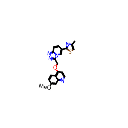 COc1ccc2c(OCc3nnc4ccc(-c5nc(C)cs5)cn34)ccnc2c1